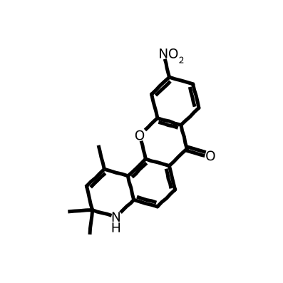 CC1=CC(C)(C)Nc2ccc3c(=O)c4ccc([N+](=O)[O-])cc4oc3c21